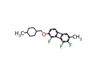 Cc1cc2c(c(F)c1F)-c1c-2ccc(OCC2CCC(C)CC2)c1F